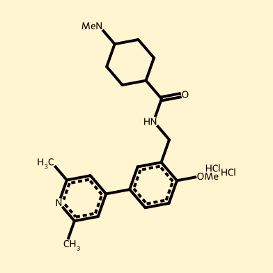 CNC1CCC(C(=O)NCc2cc(-c3cc(C)nc(C)c3)ccc2OC)CC1.Cl.Cl